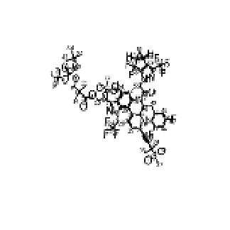 CC(C)(C)OP(=O)(OCC(C)(C)C(=O)OCN(c1nn(CC(F)(F)F)c2c(-c3ccc(C#CC(C)(C)S(C)(=O)=O)nc3[C@H](Cc3cc(F)cc(F)c3)NC(=O)Cn3nc(C(F)(F)F)c4c3C(F)(F)[C@@H]3C[C@H]43)ccc(Cl)c12)S(C)(=O)=O)OC(C)(C)C